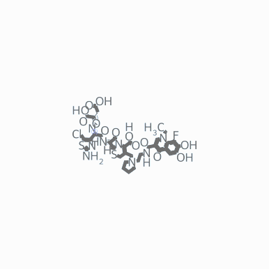 CCn1cc(C(=O)NCC[N+]2(CC3=C(C(=O)O)N4C(=O)[C@@H](NC(=O)/C(=N\O[C@@H](CC(=O)O)C(=O)O)c5nc(N)sc5Cl)[C@H]4SC3)CCCC2)c(=O)c2cc(O)c(O)c(F)c21